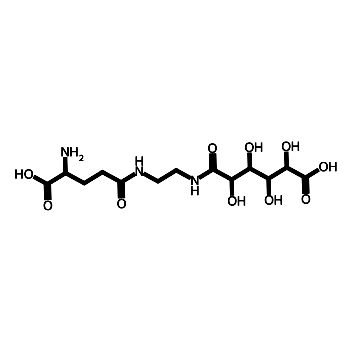 NC(CCC(=O)NCCNC(=O)C(O)C(O)C(O)C(O)C(=O)O)C(=O)O